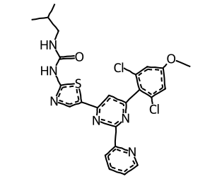 COc1cc(Cl)c(-c2cc(-c3cnc(NC(=O)NCC(C)C)s3)nc(-c3ccccn3)n2)c(Cl)c1